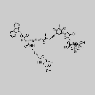 O=C(O)CC(NC(=O)CCCCCNC(=O)C(CSSCCC(=O)NCC#Cc1cn(C2CC(O)C(COP(=O)(O)OP(=O)(O)OP(=O)(O)O)O2)c(=O)[nH]c1=O)NC(=O)OCC1c2ccccc2-c2ccccc21)C(=O)O